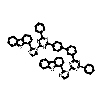 c1ccc(-c2nc(-c3cccc(-c4ccc(-c5nc(-c6ccccc6)nc(-n6ccnc6-c6cccc7c6sc6ccccc67)n5)cc4)c3)nc(-n3ccnc3-c3cccc4c3oc3ccccc34)n2)cc1